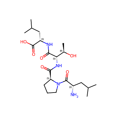 CC(C)C[C@H](NC(=O)[C@@H](NC(=O)[C@@H]1CCCN1C(=O)[C@@H](N)CC(C)C)[C@@H](C)O)C(=O)O